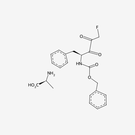 C[C@H](N)C(=O)O.O=C(N[C@@H](Cc1ccccc1)C(=O)C(=O)CF)OCc1ccccc1